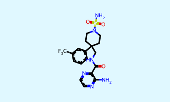 Nc1nccnc1C(=O)NCC1(c2cccc(C(F)(F)F)c2)CCN(S(N)(=O)=O)CC1